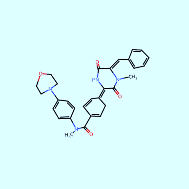 CN(C(=O)C1=CC/C(=c2/[nH]c(=O)/c(=C/c3ccccc3)n(C)c2=O)C=C1)c1ccc(N2CCOCC2)cc1